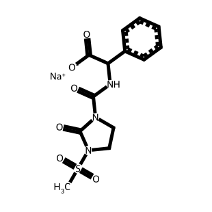 CS(=O)(=O)N1CCN(C(=O)NC(C(=O)[O-])c2ccccc2)C1=O.[Na+]